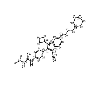 CC(C)NC(=O)Nc1ccc(-c2c(C#N)c3ccc(OCCCN4CCOCC4)cc3n2C2CCC2)cc1